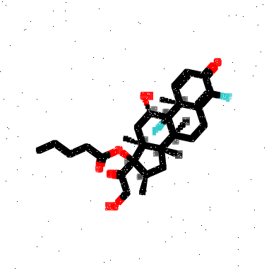 CCCCC(=O)O[C@]1(C(=O)CO)[C@H](C)C[C@H]2[C@@H]3CCC4=C(F)C(=O)C=C[C@]4(C)[C@@]3(F)[C@@H](O)C[C@@]21C